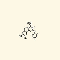 COc1cc2c(cc1OC)-c1c/c(=N\c3c(C)cc(C)cc3C)n(C)c(=O)n1CC2.Cl